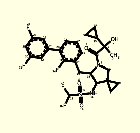 CC(O)(C(=O)N1CC2(CC2)C(NS(=O)(=O)C(F)F)C1Cc1cccc(-c2cc(F)cc(F)c2)c1F)C1CC1